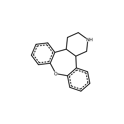 c1ccc2c(c1)Oc1ccccc1C1CNCCC21